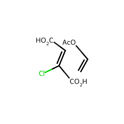 C=COC(C)=O.O=C(O)C=C(Cl)C(=O)O